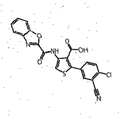 N#Cc1cc(-c2scc(NC(=O)c3nc4ccccc4o3)c2C(=O)O)ccc1Cl